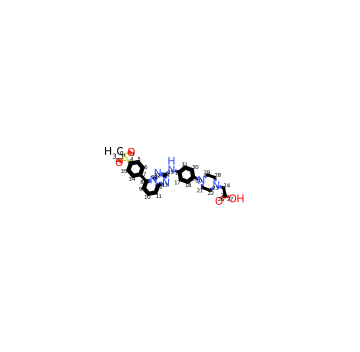 CS(=O)(=O)c1ccc(-c2cccc3nc(Nc4ccc(N5CCN(CC(=O)O)CC5)cc4)nn23)cc1